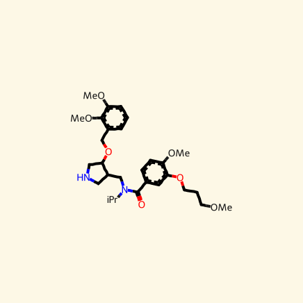 COCCCOc1cc(C(=O)N(CC2CNCC2OCc2cccc(OC)c2OC)C(C)C)ccc1OC